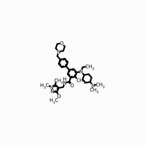 CCN(c1cc(-c2ccc(CN3CCOCC3)cc2)cc(C(=O)NCc2c(OC)nn(C)c2C)c1C)C1CCC(N(C)C)CC1